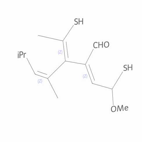 COC(S)/C=C(C=O)/C(C(/C)=C\C(C)C)=C(/C)S